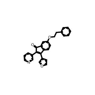 O=C1C(c2cccnc2)=C(c2ccoc2)c2ccc(OCCc3ccccc3)cc21